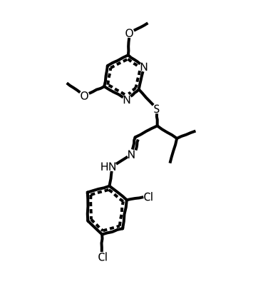 COc1cc(OC)nc(SC(C=NNc2ccc(Cl)cc2Cl)C(C)C)n1